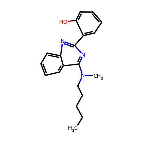 CCCCCN(C)c1nc(-c2ccccc2O)nc2ccccc12